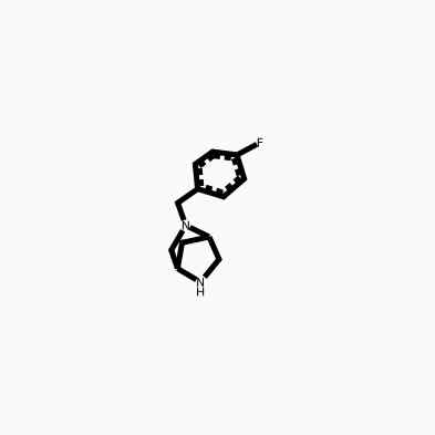 Fc1ccc(CN2CC3CC2CN3)cc1